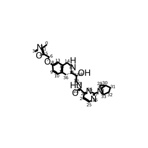 Cc1ncoc1COc1ccc2c(c1)CN[C@H]([C@H](O)CNC(=O)c1ccnc(N3CC4CCC3C4)n1)C2